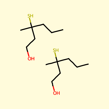 CCCC(C)(S)CCO.CCCC(C)(S)CCO